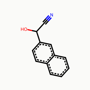 N#CC(O)c1ccc2ccccc2c1